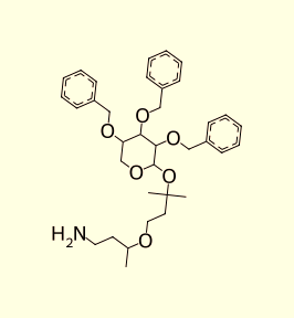 CC(CCN)OCCC(C)(C)OC1OCC(OCc2ccccc2)C(OCc2ccccc2)C1OCc1ccccc1